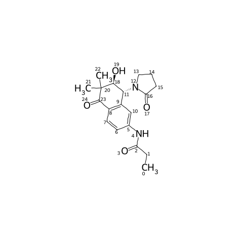 CCC(=O)Nc1ccc2c(c1)[C@@H](N1CCCC1=O)[C@H](O)C(C)(C)C2=O